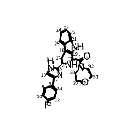 O=C(C1N[C@@H](c2nc(-c3ccc(F)cc3)c[nH]2)Cc2c1[nH]c1ccccc21)N1CCOCC1